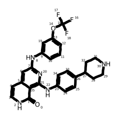 O=c1[nH]ccc2cc(Nc3cccc(OC(F)(F)F)c3)nc(Nc3ccc(C4CCNCC4)cc3)c12